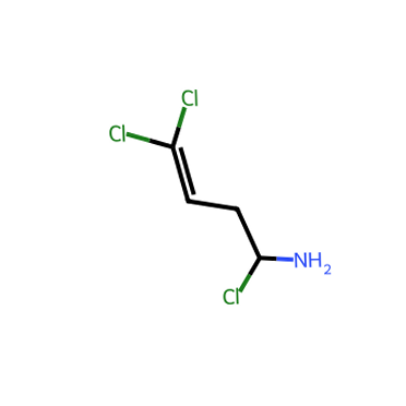 NC(Cl)CC=C(Cl)Cl